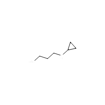 CCCCCCCPC1CC1